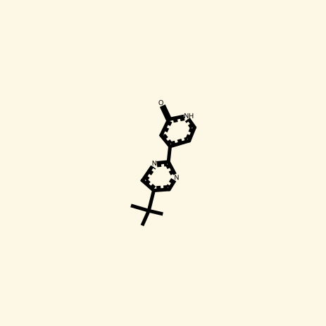 CC(C)(C)c1cnc(-c2cc[nH]c(=O)c2)nc1